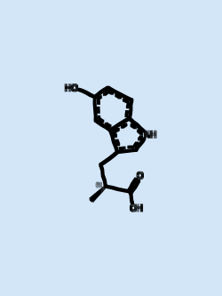 C[C@@H](Cc1c[nH]c2ccc(O)cc12)C(=O)O